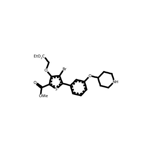 CCOC(=O)COc1c(C(=O)OC)sc(-c2cccc(OC3CCNCC3)c2)c1Br